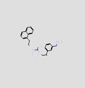 CC(C)C(NS(=O)(=O)CCc1cccc2ccccc12)P(=O)(O)CC(C(=O)O)c1cccc(CN)c1